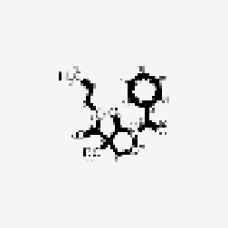 C=CCOC(=O)C1(C)CON(C(=O)c2ccccc2)C1=O